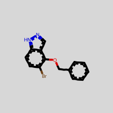 Brc1ccc2[nH]ncc2c1OCc1ccccc1